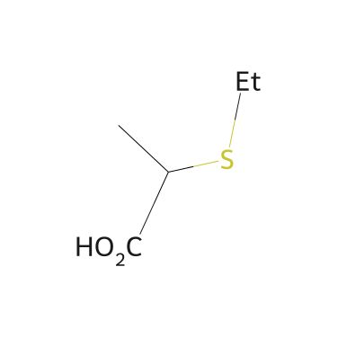 CCSC(C)C(=O)O